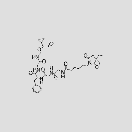 CCC1(CC)CC(=O)N(CCCCCC(=O)NCC(=O)NCC(=O)NC(Cc2ccccc2)C(=O)NCC(=O)NCOC(C=O)C2CC2)C1=O